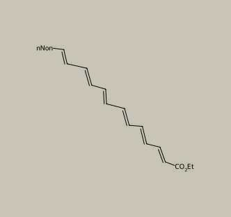 CCCCCCCCC/C=C/C=C/C=C/C=C/C=C/C=C/C(=O)OCC